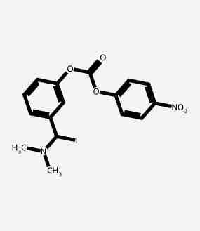 CN(C)C(I)c1cccc(OC(=O)Oc2ccc([N+](=O)[O-])cc2)c1